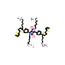 CCCCCCN1C(=O)C2=C(c3ccc(C4(CCCCCC)CC=C(c5cccs5)S4)cc3)N(CCCCCC)C(=O)C2=C1c1ccc(C2(CCCCCC)CC=C(c3cccs3)S2)cc1